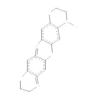 CCCCN1CCOc2cc3c(cc21)Oc1cc2c(cc1=N3)OCCN=2